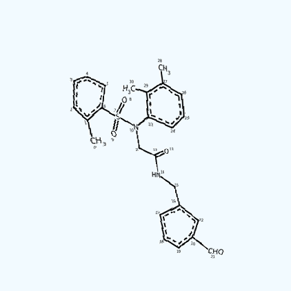 Cc1ccccc1S(=O)(=O)N(CC(=O)NCc1cccc(C=O)c1)c1cccc(C)c1C